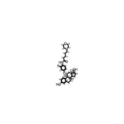 C[C@]12C[C@H](Oc3ccc(NC(=O)CCCCN4CCOCC4)c(F)c3)[C@@H]3c4ccc(O)cc4CC[C@H]3[C@@H]1CC[C@@H]2O